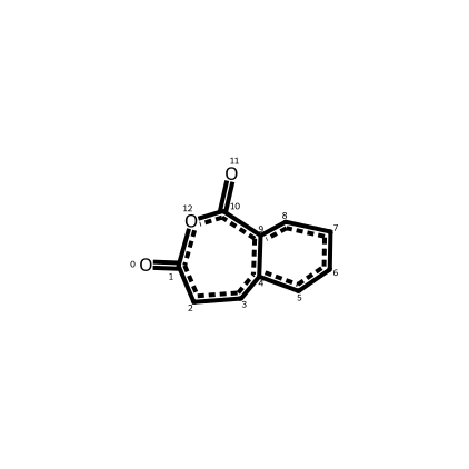 O=c1ccc2ccccc2c(=O)o1